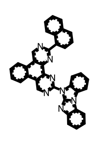 c1ccc2c(-c3ncc4c5ccccc5c5cnc(-n6c7ccccc7n7c8ccccc8nc67)nc5c4n3)cccc2c1